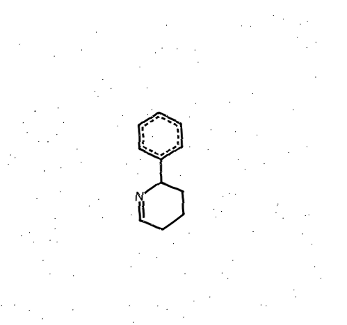 C1=NC(c2ccccc2)CCC1